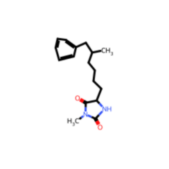 CC(CCCCC1NC(=O)N(C)C1=O)Cc1ccccc1